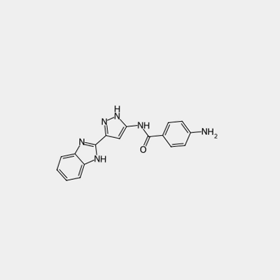 Nc1ccc(C(=O)Nc2cc(-c3nc4ccccc4[nH]3)n[nH]2)cc1